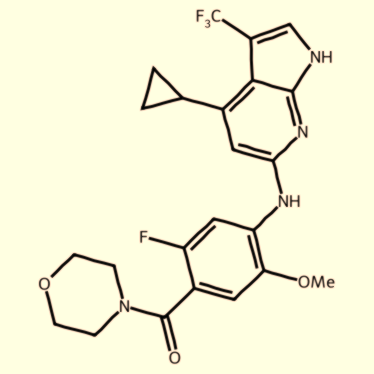 COc1cc(C(=O)N2CCOCC2)c(F)cc1Nc1cc(C2CC2)c2c(C(F)(F)F)c[nH]c2n1